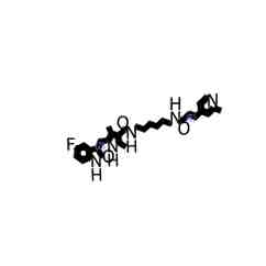 Cc1cc(/C=C/C(=O)NCCCCCCNC(=O)c2c(C)[nH]c(/C=C3\C(=O)Nc4ccc(F)cc43)c2C)ccn1